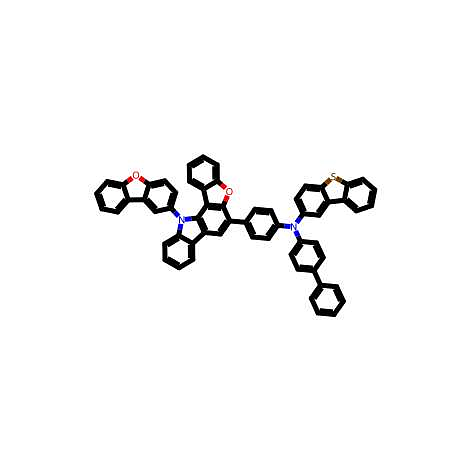 c1ccc(-c2ccc(N(c3ccc(-c4cc5c6ccccc6n(-c6ccc7oc8ccccc8c7c6)c5c5c4oc4ccccc45)cc3)c3ccc4sc5ccccc5c4c3)cc2)cc1